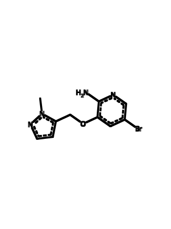 Cn1nccc1COc1cc(Br)cnc1N